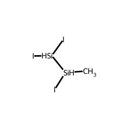 C[SiH](I)[SiH](I)I